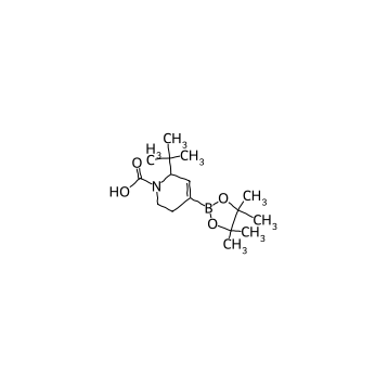 CC(C)(C)C1C=C(B2OC(C)(C)C(C)(C)O2)CCN1C(=O)O